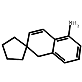 Nc1cccc2c1C=CC1(CCCC1)C2